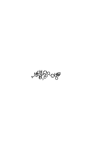 COc1c(CNC(=O)c2cc(C3CC3)nn2C)cccc1OCc1ccc(C(=O)N2CC3CC(C2)N3)cc1